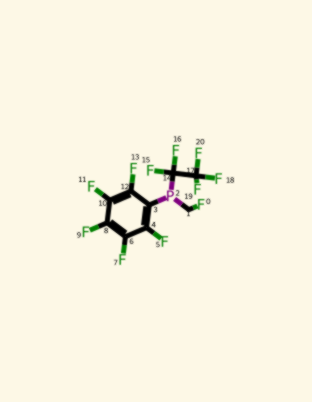 FCP(c1c(F)c(F)c(F)c(F)c1F)C(F)(F)C(F)(F)F